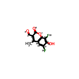 Cc1c(C=O)c(=O)oc2c(F)c(O)c(F)cc12